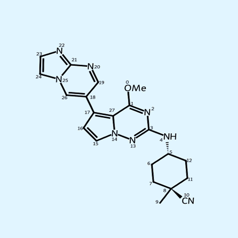 COc1nc(N[C@H]2CC[C@](C)(C#N)CC2)nn2ccc(-c3cnc4nccn4c3)c12